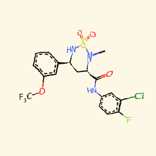 CN1[C@@H](C(=O)Nc2ccc(F)c(Cl)c2)C[C@@H](c2cccc(OC(F)(F)F)c2)NS1(=O)=O